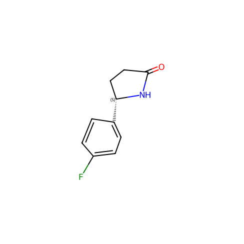 O=C1CC[C@@H](c2ccc(F)cc2)N1